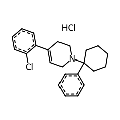 Cl.Clc1ccccc1C1=CCN(C2(c3ccccc3)CCCCC2)CC1